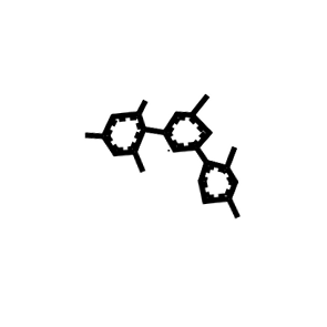 Cc1cc(-c2ccc(C)cc2C)[c]c(-c2c(C)cc(C)cc2C)c1